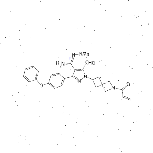 C=CC(=O)N1CC2(CC(n3nc(-c4ccc(Oc5ccccc5)cc4)c(/C(N)=N\NC)c3C=O)C2)C1